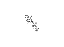 Cc1nn(C)c(C)c1C(C)NC(=O)COc1cc(C(F)F)c2c(-c3ccccc3)nn(C)c2n1